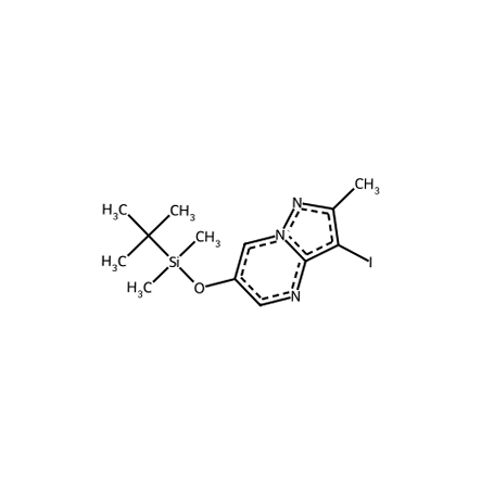 Cc1nn2cc(O[Si](C)(C)C(C)(C)C)cnc2c1I